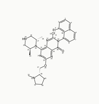 CCc1cccc2cccc(-n3c(C(F)(F)F)nc4c(N5[C@@H](C)CNC[C@@H]5C)nc(OC[C@@H]5CCCN5C)nc4c3=O)c12